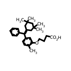 Cc1ccc(C(=C2CC(C)(C)CC(C)(C)C2)c2ccccc2)cc1OCCCC(=O)O